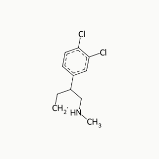 [CH2]CC(CNC)c1ccc(Cl)c(Cl)c1